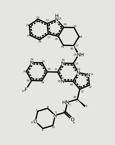 C[C@@H](NC(=O)N1CCOCC1)c1cnn2c(N[C@@H]3CCc4[nH]c5ccccc5c4C3)nc(-c3cncc(F)c3)nc12